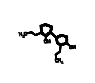 CCCc1cc(-c2cccc(CCC)c2O)ccc1O